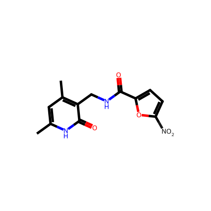 Cc1cc(C)c(CNC(=O)c2ccc([N+](=O)[O-])o2)c(=O)[nH]1